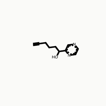 C#CCCCC(O)c1cnccn1